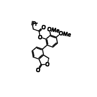 COc1ccc(-c2cccc3c2COC3=O)c(OC(=O)CC(C)C)c1OC